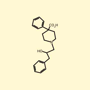 O=C(O)C1(c2ccccc2)CCN(CC(O)Cc2ccccc2)CC1